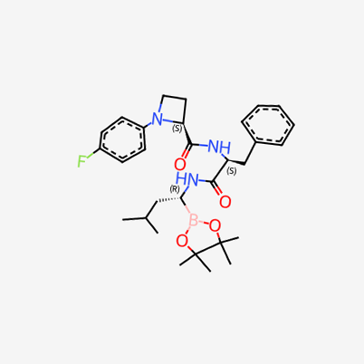 CC(C)C[C@H](NC(=O)[C@H](Cc1ccccc1)NC(=O)[C@@H]1CCN1c1ccc(F)cc1)B1OC(C)(C)C(C)(C)O1